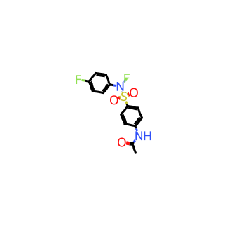 CC(=O)Nc1ccc(S(=O)(=O)N(F)c2ccc(F)cc2)cc1